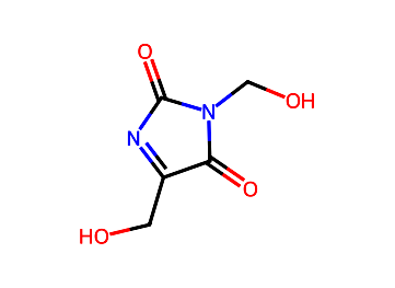 O=C1N=C(CO)C(=O)N1CO